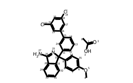 CC(=O)O.COc1ccc(C2(c3cccc(-c4cc(Cl)cc(Cl)c4)c3)N=C(N)c3ccccc32)cc1